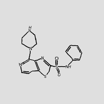 O=S(=O)(Nc1ccccc1)c1nc2c(N3CCNCC3)nccc2s1